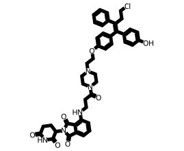 O=C1CCC(N2C(=O)c3cccc(NCCC(=O)N4CCN(CCOc5ccc(C(=C(CCCl)c6ccccc6)c6ccc(O)cc6)cc5)CC4)c3C2=O)C(=O)N1